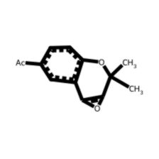 CC(=O)c1ccc2c(c1)C1=C(O1)C(C)(C)O2